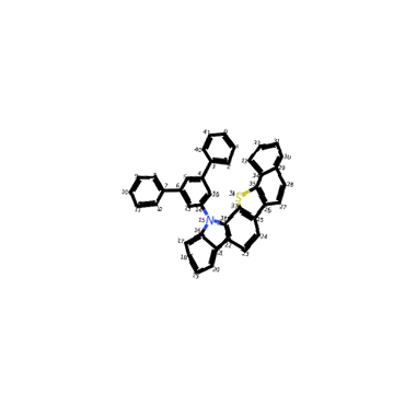 c1ccc(-c2cc(-c3ccccc3)cc(-n3c4ccccc4c4ccc5c6ccc7ccccc7c6sc5c43)c2)cc1